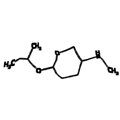 CBC1CCC(OC(C)C)OC1